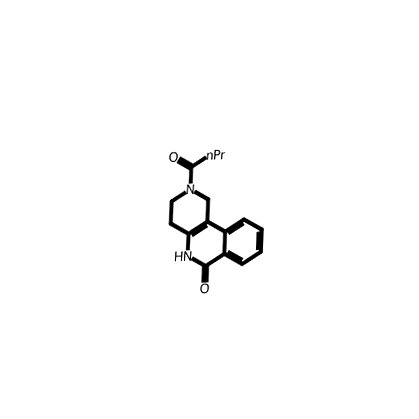 CCCC(=O)N1CCc2[nH]c(=O)c3ccccc3c2C1